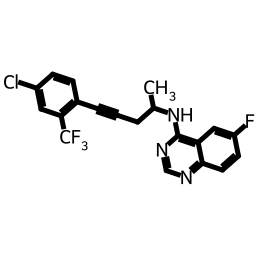 CC(CC#Cc1ccc(Cl)cc1C(F)(F)F)Nc1ncnc2ccc(F)cc12